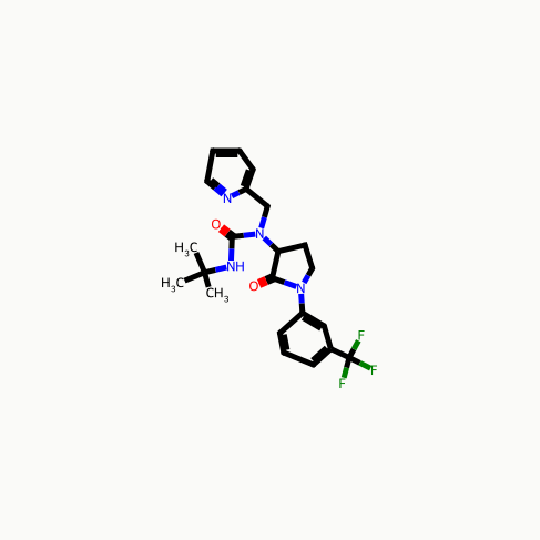 CC(C)(C)NC(=O)N(Cc1ccccn1)C1CCN(c2cccc(C(F)(F)F)c2)C1=O